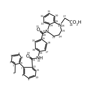 Cc1ccccc1-c1ccccc1C(=O)Nc1ccc(C(=O)N2CCCN(CC(=O)O)c3ccccc32)cc1